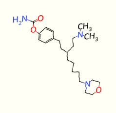 CN(C)CCC(CCCCCN1CCOCC1)CCc1ccc(OC(N)=O)cc1